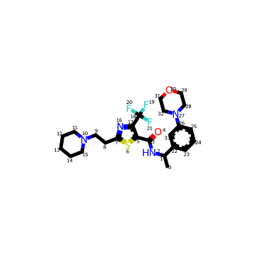 CC(NC(=O)c1sc(CCN2CCCCC2)nc1C(F)(F)F)c1cccc(N2CCOCC2)c1